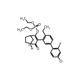 CCOP(=O)(OCC)OC1=C(c2cc(-c3ccc(Cl)cc3F)ccc2CC)C(=O)[C@@H]2CCC1C2